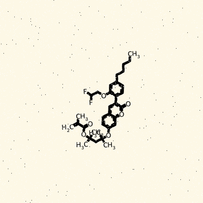 C=C(C)C(=O)OC(C)(C)CC(C)(C)Oc1ccc2cc(-c3ccc(CCCCC)cc3OCC(F)F)c(=O)oc2c1